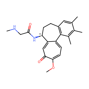 CNCC(=O)N[C@H]1CCc2cc(C)c(C)c(C)c2-c2ccc(OC)c(=O)cc21